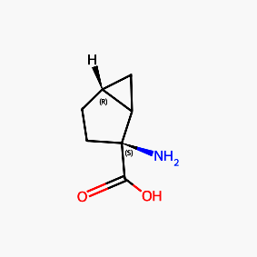 N[C@@]1(C(=O)O)CC[C@@H]2CC21